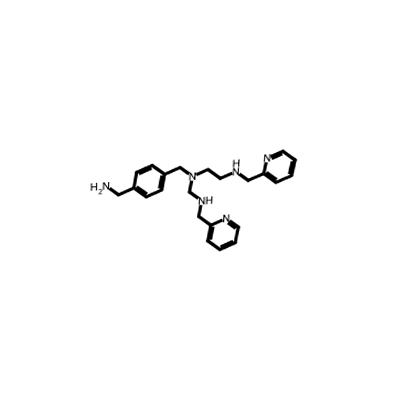 NCc1ccc(CN(CCNCc2ccccn2)CNCc2ccccn2)cc1